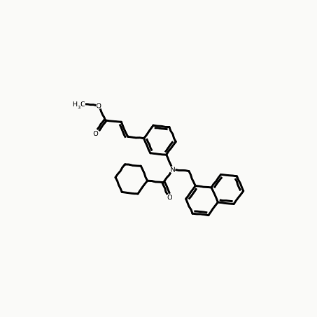 COC(=O)/C=C/c1cccc(N(Cc2cccc3ccccc23)C(=O)C2CCCCC2)c1